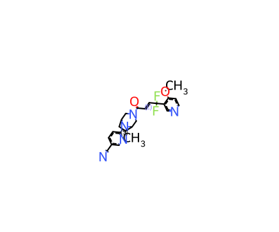 COc1ccncc1C(F)(F)/C=C/C(=O)N1CC2C[C@H](C)C(C1)N2c1ccc(C#N)cn1